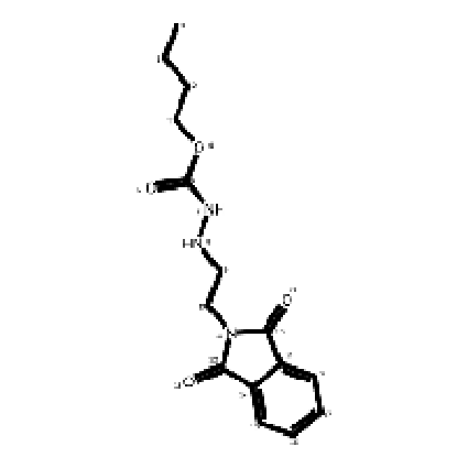 CCCCOC(=O)NNCCN1C(=O)c2ccccc2C1=O